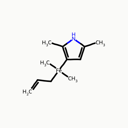 C=C[CH2][Fe]([CH3])([CH3])[c]1cc(C)[nH]c1C